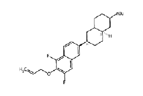 C=CCOc1c(F)cc2cc([C@@H]3CC[C@@H]4CC(CCCC)CCC4C3)ccc2c1F